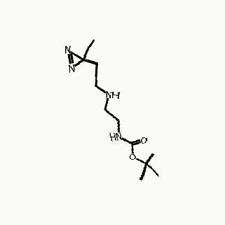 CC1(CCNCCNC(=O)OC(C)(C)C)N=N1